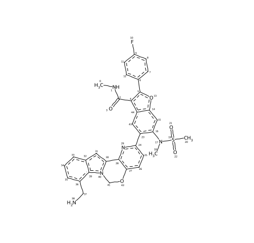 CNC(=O)c1c(-c2ccc(F)cc2)oc2cc(N(C)S(C)(=O)=O)c(-c3ccc4c(n3)-c3cc5cccc(CN)c5n3CO4)cc12